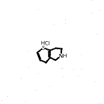 C1=CSC2=C(C1)CNCC2.Cl